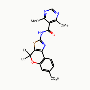 CCC1(CC)Oc2cc(C(=O)O)ccc2-c2nc(NC(=O)c3c(OC)ncnc3OC)sc21